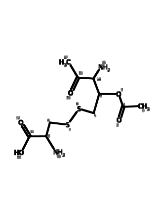 CC(=O)OC(CSSCC(N)C(=O)O)C(N)C(C)=O